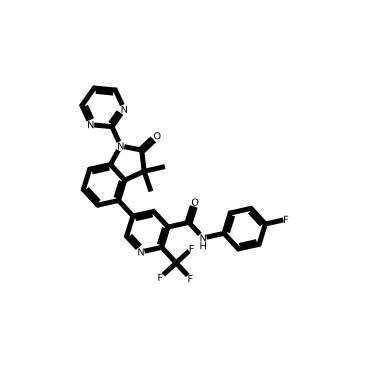 CC1(C)C(=O)N(c2ncccn2)c2cccc(-c3cnc(C(F)(F)F)c(C(=O)Nc4ccc(F)cc4)c3)c21